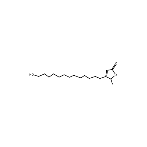 CC1OC(=O)C=C1CCCCCCCCCCCCCO